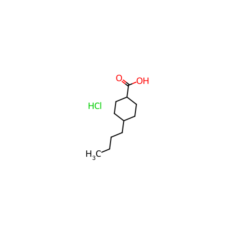 CCCCC1CCC(C(=O)O)CC1.Cl